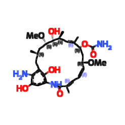 CO[C@H]1C[C@H](C)Cc2c(N)c(O)cc(c2O)NC(=O)/C(C)=C/C=C\[C@H](OC)C[C@@H](OC(N)=O)/C(C)=C/[C@H](C)[C@H]1O